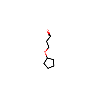 O=CCCOC1CCCC1